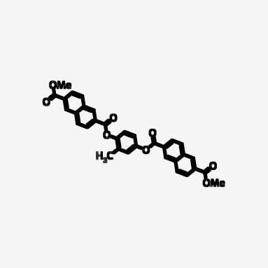 COC(=O)c1ccc2cc(C(=O)Oc3ccc(OC(=O)c4ccc5cc(C(=O)OC)ccc5c4)c(C)c3)ccc2c1